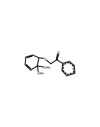 COC1(OC)C=CC=CC1OCC(=O)c1ccccc1